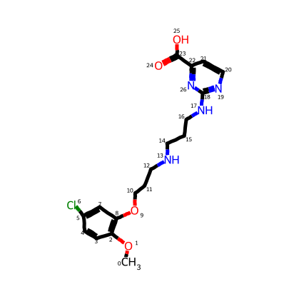 COc1ccc(Cl)cc1OCCCNCCCNc1nccc(C(=O)O)n1